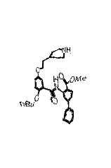 CCCCOc1ccc(OCCC2CCNCC2)cc1C(=O)Nc1cc(-c2ccccc2)ccc1C(=O)OC